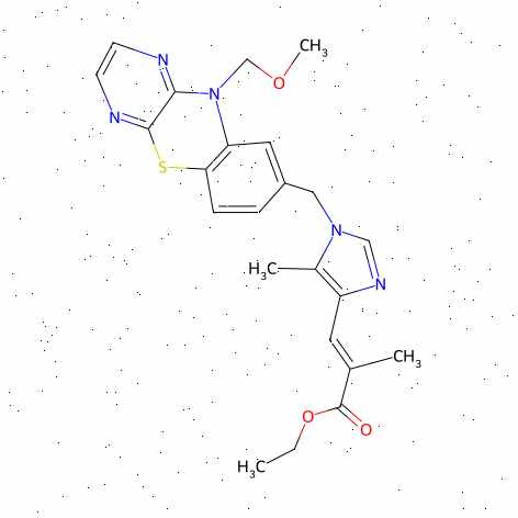 CCOC(=O)/C(C)=C/c1ncn(Cc2ccc3c(c2)N(COC)c2nccnc2S3)c1C